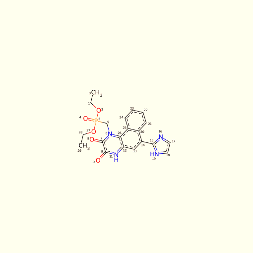 CCOP(=O)(Cn1c(=O)c(=O)[nH]c2cc(-c3ncc[nH]3)c3ccccc3c21)OCC